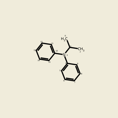 CC(C)[Si](c1ccccc1)c1ccccc1